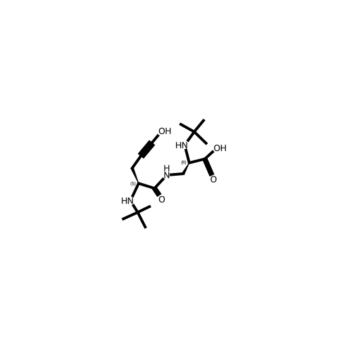 CC(C)(C)N[C@@H](CC#CO)C(=O)NC[C@@H](NC(C)(C)C)C(=O)O